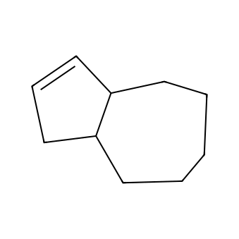 C1=CC2CCCCCC2C1